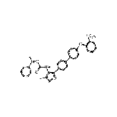 Cc1noc(-c2ccc(-c3ccc(Oc4ccccc4C(=O)O)cc3)cc2)c1NC(=O)O[C@H](C)c1ccccc1